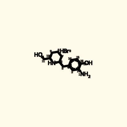 Br.Nc1cc(CC2CCCC(CO)N2)ccc1O